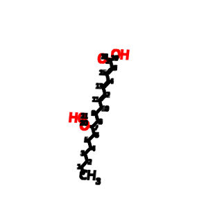 CCCCCCCC(CCCC=CC=CC=CC(=O)O)OO